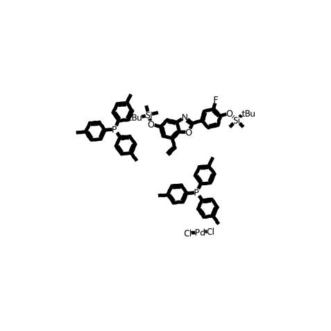 C=Cc1cc(O[Si](C)(C)C(C)(C)C)cc2nc(-c3ccc(O[Si](C)(C)C(C)(C)C)c(F)c3)oc12.Cc1ccc(P(c2ccc(C)cc2)c2ccc(C)cc2)cc1.Cc1ccc(P(c2ccc(C)cc2)c2ccc(C)cc2)cc1.[Cl][Pd][Cl]